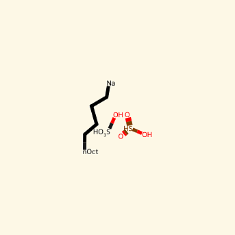 CCCCCCCCCCC[CH2][Na].O=S(=O)(O)O.O=[SH](=O)O